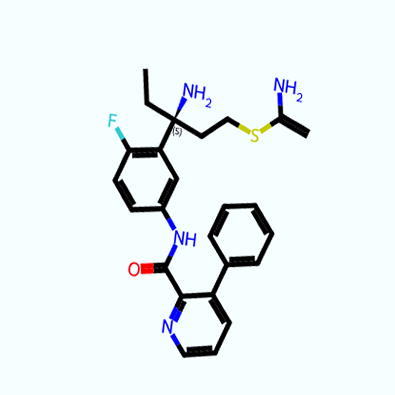 C=C(N)SCC[C@@](N)(CC)c1cc(NC(=O)c2ncccc2-c2ccccc2)ccc1F